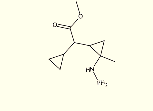 COC(=O)C(C1CC1)C1CC1(C)NP